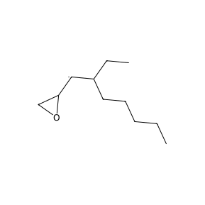 CCCCCC([CH]C1CO1)CC